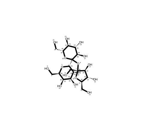 OC[C@H]1O[C@H](C2(O[C@@]3(CO)O[C@H](CO)[C@@H](O)[C@@H]3O)O[C@H](CO)[C@@H](O)[C@H](O)[C@H]2O)[C@H](O)[C@@H](O)[C@H]1O